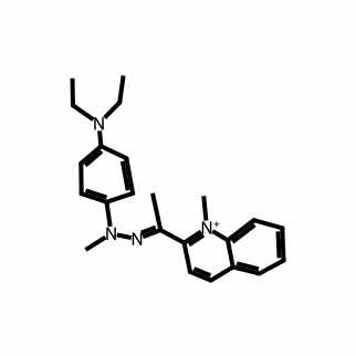 CCN(CC)c1ccc(N(C)/N=C(\C)c2ccc3ccccc3[n+]2C)cc1